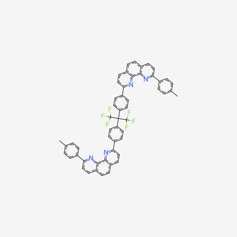 Cc1ccc(-c2ccc3ccc4ccc(-c5ccc(C(c6ccc(-c7ccc8ccc9ccc(-c%10ccc(C)cc%10)nc9c8n7)cc6)(C(F)(F)F)C(F)(F)F)cc5)nc4c3n2)cc1